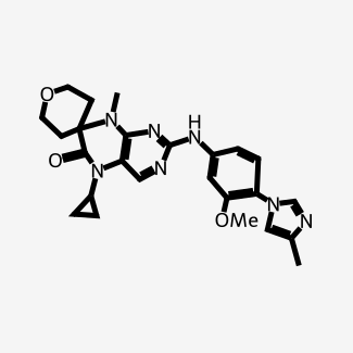 COc1cc(Nc2ncc3c(n2)N(C)C2(CCOCC2)C(=O)N3C2CC2)ccc1-n1cnc(C)c1